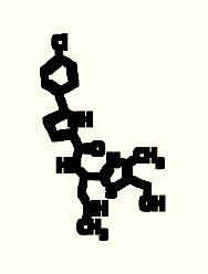 CNCC(NC(=O)c1ccc(-c2ccc(Cl)cc2)[nH]1)c1nc(C)c(CO)s1